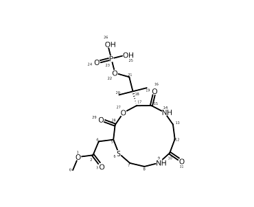 COC(=O)CC1SCCNC(=O)CCNC(=O)[C@@H](C(C)(C)COP(=O)(O)O)OC1=O